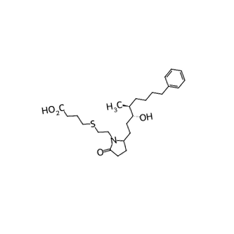 C[C@@H](CCCCc1ccccc1)[C@H](O)CCC1CCC(=O)N1CCSCCCC(=O)O